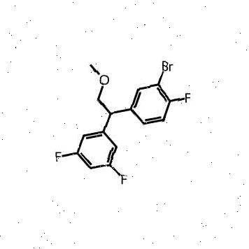 COCC(c1cc(F)cc(F)c1)c1ccc(F)c(Br)c1